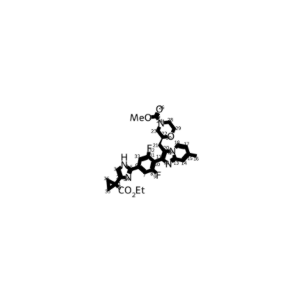 CCOC(=O)C1(c2c[nH]c(-c3cc(F)c(-c4nc5cc(C)ccn5c4C[C@H]4CN(C(=O)OC)CCO4)c(F)c3)n2)CC1